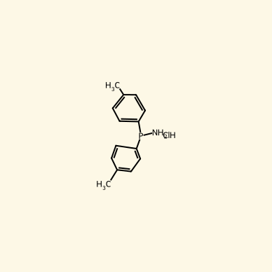 Cc1ccc(P(N)c2ccc(C)cc2)cc1.Cl